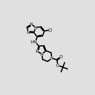 CC(C)(C)OC(=O)N1CCn2nc(Nc3cc(Cl)cn4ncnc34)cc2C1